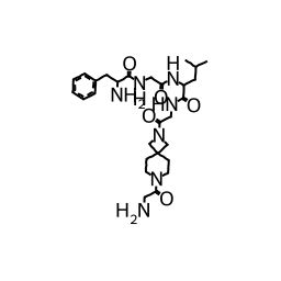 CC(C)CC(NC(=O)CNC(=O)C(N)Cc1ccccc1)C(=O)NCC(=O)N1CC2(CCN(C(=O)CN)CC2)C1